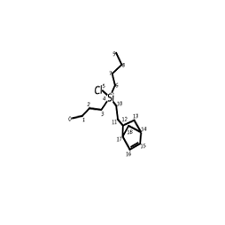 CCCC[Si](Cl)(CCCC)CCC1CC2C=CC1C2